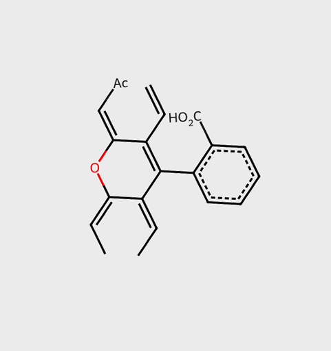 C=CC1=C(c2ccccc2C(=O)O)C(=C/C)/C(=C\C)O/C1=C/C(C)=O